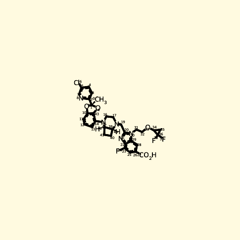 C[C@]1(c2ccc(Cl)cn2)Oc2cccc(N3CCN(Cc4nc5c(F)cc(C(=O)O)cc5n4CCOC4CC4(F)F)[C@@H]4CC[C@H]43)c2O1